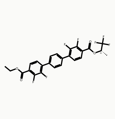 CCOC(=O)c1ccc(-c2ccc(-c3ccc(C(=O)O[C@@H](C)C(F)(F)F)c(F)c3F)cc2)c(F)c1F